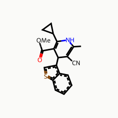 COC(=O)C1=C(C2CC2)NC(C)=C(C#N)C1c1csc2ccccc12